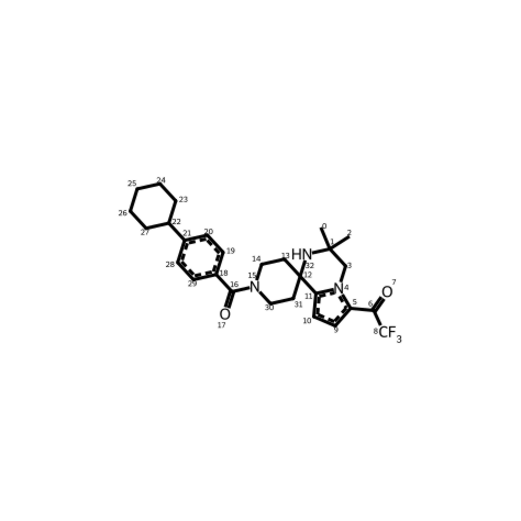 CC1(C)Cn2c(C(=O)C(F)(F)F)ccc2C2(CCN(C(=O)c3ccc(C4CCCCC4)cc3)CC2)N1